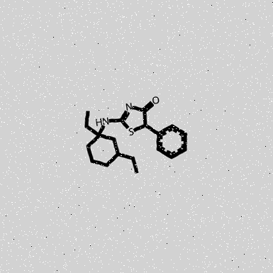 CCC1CCCC(CC)(NC2=NC(=O)C(c3ccccc3)S2)C1